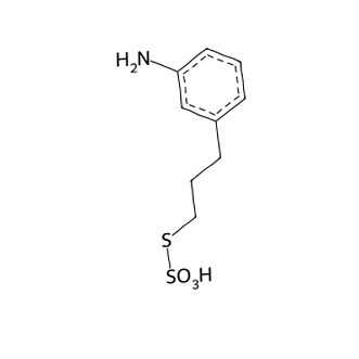 Nc1cccc(CCCSS(=O)(=O)O)c1